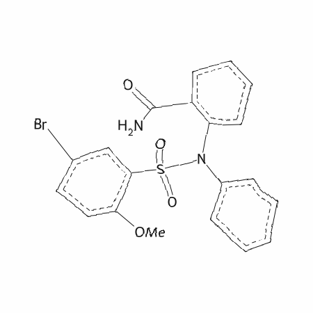 COc1ccc(Br)cc1S(=O)(=O)N(c1ccccc1)c1ccccc1C(N)=O